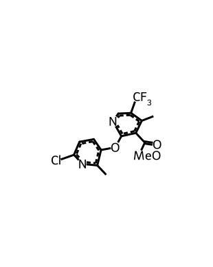 COC(=O)c1c(Oc2ccc(Cl)nc2C)ncc(C(F)(F)F)c1C